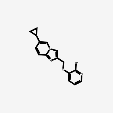 Brc1ncccc1OCc1cn2cc(C3CC3)ccc2n1